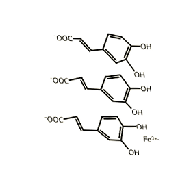 O=C([O-])C=Cc1ccc(O)c(O)c1.O=C([O-])C=Cc1ccc(O)c(O)c1.O=C([O-])C=Cc1ccc(O)c(O)c1.[Fe+3]